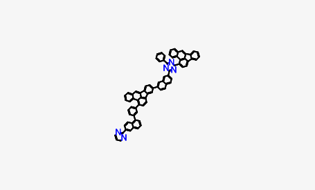 c1ccc(-c2nc(-c3ccc4ccc(-c5ccc6c(c5)-c5ccc(-c7cccc(-c8cccc9cc(-c%10ncccn%10)ccc89)c7)c7c5c-6cc5ccccc57)cc4c3)nc(-c3ccc4c5c(cc6ccccc6c35)-c3ccccc3-4)n2)cc1